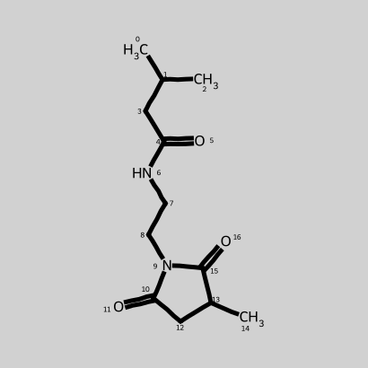 CC(C)CC(=O)NCCN1C(=O)CC(C)C1=O